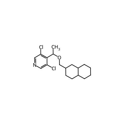 CC(OCC1CCC2CCCCC2C1)c1c(Cl)cncc1Cl